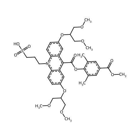 COCC(COC)Oc1ccc2c(c1)c(C(=O)Oc1c(C)cc(C(=O)OC)cc1C)c1cc(OC(COC)COC)ccc1[n+]2CCCS(=O)(=O)O